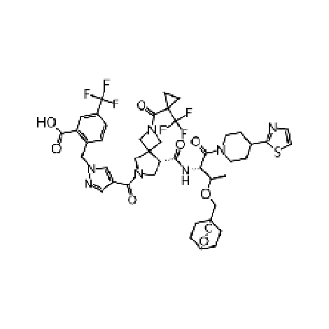 C[C@@H](OCC12CCC(CC1)OC2)[C@H](NC(=O)[C@@H]1CN(C(=O)c2cnn(Cc3ccc(C(F)(F)F)cc3C(=O)O)c2)CC12CN(C(=O)C1(C(F)(F)F)CC1)C2)C(=O)N1CCC(c2nccs2)CC1